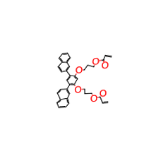 C=CC(=O)OCCCOc1cc(OCCCOC(=O)C=C)c(-c2ccc3ccccc3c2)cc1-c1ccc2ccccc2c1